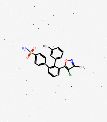 Cc1cccc(-c2c(-c3ccc(S(N)(=O)=O)cc3)cccc2-c2onc(C)c2Br)c1